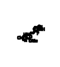 COCc1ncc(Cl)cc1NC(=O)/C=C/c1ccc2cn[nH]c2c1F